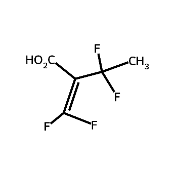 CC(F)(F)C(C(=O)O)=C(F)F